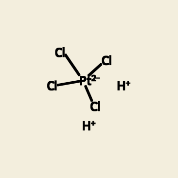 [Cl][Pt-2]([Cl])([Cl])[Cl].[H+].[H+]